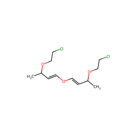 CC(C=COC=CC(C)OCCCl)OCCCl